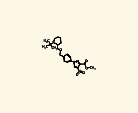 COC(=O)c1nn(-c2ccc(COCC3CCCCN3C(C)(C)C)cc2)cc1[N+](=O)[O-]